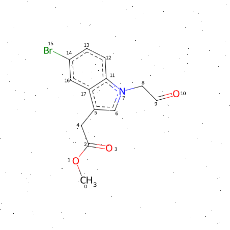 COC(=O)Cc1cn(CC=O)c2ccc(Br)cc12